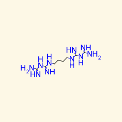 N=C(N)NC(=N)NCCCCNC(=N)NC(=N)N